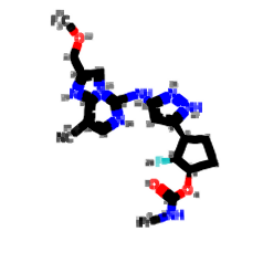 CC(C)NC(=O)O[C@@H]1CC[C@H](c2cc(Nc3ncc(C#N)c4nc(COC(F)(F)F)cn34)n[nH]2)[C@@H]1F